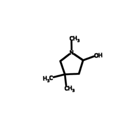 CN1CC(C)(C)CC1O